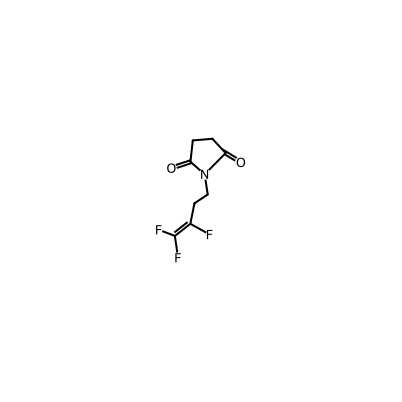 O=C1CCC(=O)N1CCC(F)=C(F)F